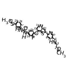 COCCNCc1ccc(-c2cc3nccc(Oc4ccc(NC(=O)Nc5cccc(SC)c5)cc4F)c3s2)nc1